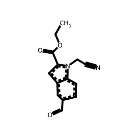 CCOC(=O)c1cc2cc(C=O)ccc2n1CC#N